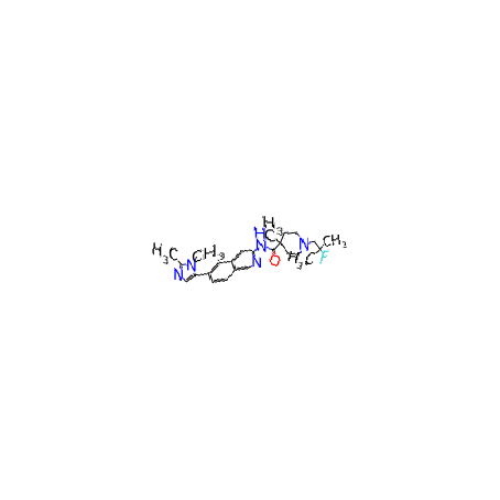 Cc1ncc(-c2ccc3cnc(NC(=O)C4(C)CCN(CC(C)(C)F)CC4)cc3c2)n1C